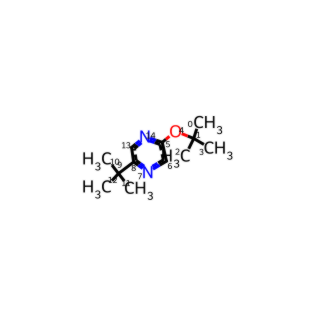 CC(C)(C)Oc1cnc(C(C)(C)C)cn1